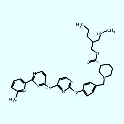 CCCC(CNC)COC(=O)[C@@H]1CCCN(Cc2ccc(Nc3nccc(Nc4ccnc(-c5cccc(C)n5)n4)n3)cc2)C1